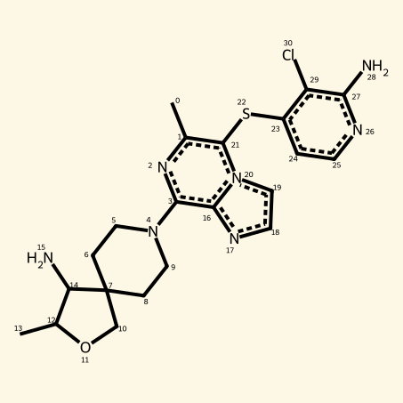 Cc1nc(N2CCC3(CC2)COC(C)C3N)c2nccn2c1Sc1ccnc(N)c1Cl